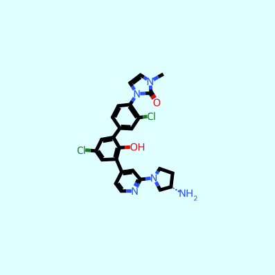 Cn1ccn(-c2ccc(-c3cc(Cl)cc(-c4ccnc(N5CC[C@H](N)C5)c4)c3O)cc2Cl)c1=O